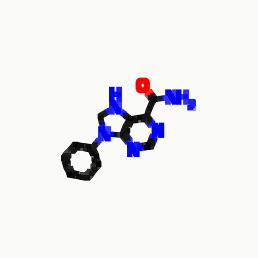 NC(=O)c1ncnc2c1NCN2c1ccccc1